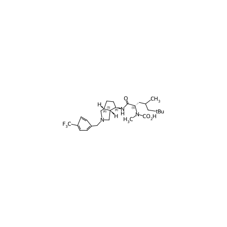 CC(C[C@@H](C(=O)N[C@@H]1CC[C@H]2CN(Cc3ccc(C(F)(F)F)cc3)C[C@H]21)N(C)C(=O)O)CC(C)(C)C